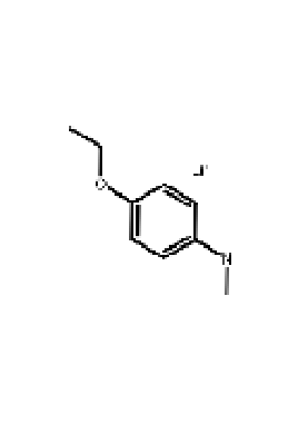 CCOc1ccc([N-]C)cc1.[Li+]